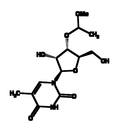 COC(C)O[C@H]1[C@@H](O)[C@H](n2cc(C)c(=O)[nH]c2=O)O[C@@H]1CO